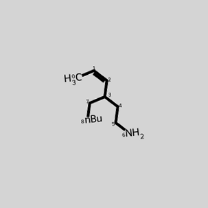 C/C=C\C(CCN)CCCCC